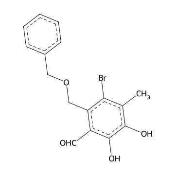 Cc1c(O)c(O)c(C=O)c(COCc2ccccc2)c1Br